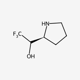 OC([C@@H]1CCCN1)C(F)(F)F